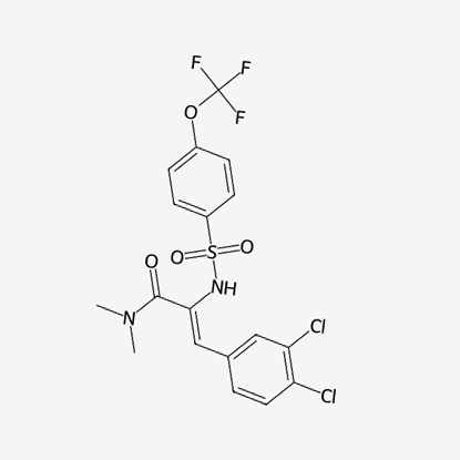 CN(C)C(=O)C(=Cc1ccc(Cl)c(Cl)c1)NS(=O)(=O)c1ccc(OC(F)(F)F)cc1